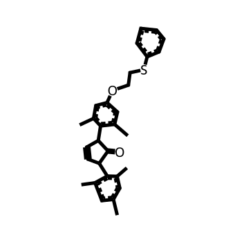 Cc1cc(C)c(C2C#CC(c3c(C)cc(OCCSc4ccccc4)cc3C)C2=O)c(C)c1